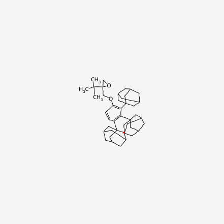 CC(C)(C)C1(COc2ccc(C34CC5CC(CC(C5)C3)C4)c(C34CC5CC(CC(C5)C3)C4)c2C23CC4CC(CC(C4)C2)C3)CO1